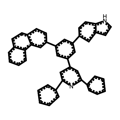 c1ccc(-c2cc(-c3cc(-c4ccc5[nH]ccc5c4)cc(-c4ccc5ccc6ccccc6c5c4)c3)cc(-c3ccccc3)n2)cc1